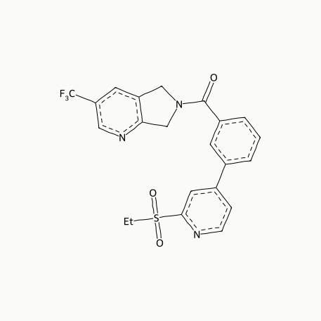 CCS(=O)(=O)c1cc(-c2cccc(C(=O)N3Cc4cc(C(F)(F)F)cnc4C3)c2)ccn1